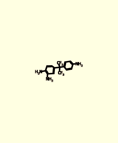 Nc1ccc(C(c2ccc(N)c(N)c2)(C(F)(F)F)C(F)(F)F)cc1